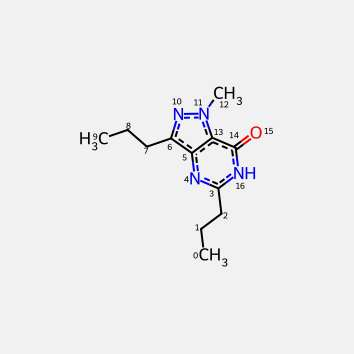 CCCc1nc2c(CCC)nn(C)c2c(=O)[nH]1